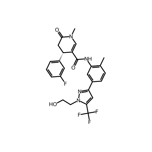 Cc1ccc(-c2cc(C(F)(F)F)n(CCO)n2)cc1NC(=O)C1=CN(C)C(=O)C[C@H]1c1cccc(F)c1